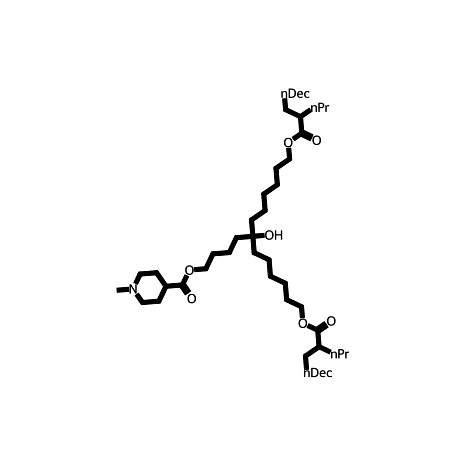 CCCCCCCCCCCC(CCC)C(=O)OCCCCCCC(O)(CCCCCCOC(=O)C(CCC)CCCCCCCCCCC)CCCCOC(=O)C1CCN(C)CC1